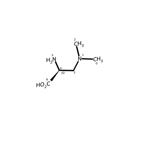 CN(C)C[C@H](N)C(=O)O